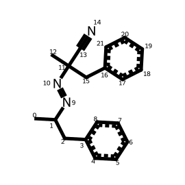 CC(Cc1ccccc1)N=NC(C)(C#N)Cc1ccccc1